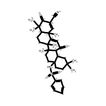 CC1(C)CCC2(NS(=O)(=O)c3ccccc3)CCC3(C)C(C(=O)C=C4C5(C)C=C(C#N)C(=O)C(C)(C)C5CCC43C)C2C1